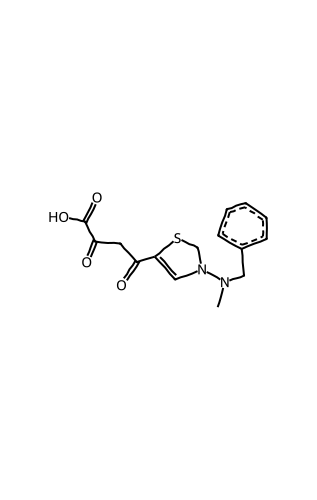 CN(Cc1ccccc1)N1C=C(C(=O)CC(=O)C(=O)O)SC1